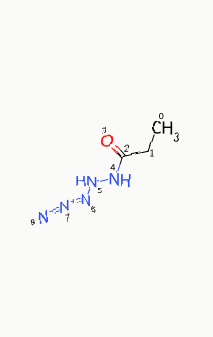 CCC(=O)NNN=[N+]=[N-]